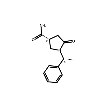 C[C@H](c1ccccc1)N1C[C@H](C(N)=O)CC1=O